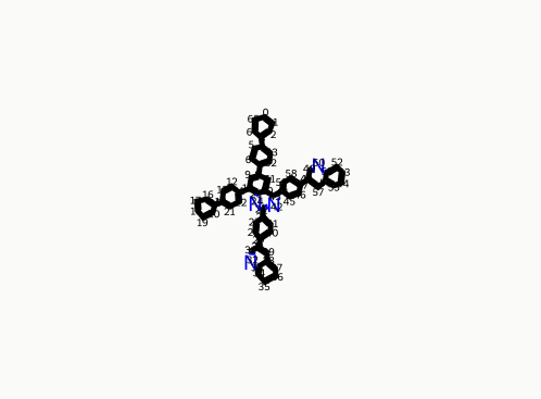 c1ccc(-c2ccc(-c3cc(-c4ccc(-c5ccccc5)cc4)c4nc(-c5ccc(-c6cnc7ccccc7c6)cc5)nc(-c5ccc(-c6cnc7ccccc7c6)cc5)c4c3)cc2)cc1